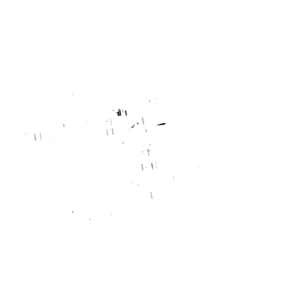 CC(C)[C@H]1NC(=O)C[C@H]2/C=C/CCSSC[C@@H](NC1=O)C(=O)N[C@H](Cc1ccc3ccccc3c1)C(=O)NCC(=O)O2